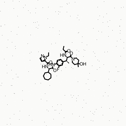 CCC(=O)N[C@@H](C(=O)N1CCC(C)(O)CC1)[C@@H](C)c1ccc(NC(=O)[C@@H](NC(=O)c2ccnn2CC)C2CCCCCC2)c(F)c1